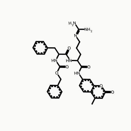 Cc1cc(=O)oc2cc(NC(=O)C(CCCN=C(N)N)NC(=O)C(Cc3ccccc3)NC(=O)OCc3ccccc3)ccc12